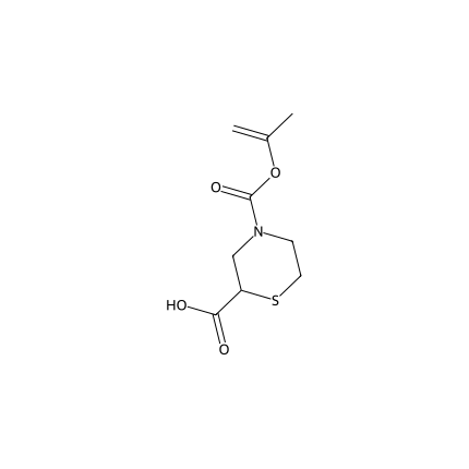 C=C(C)OC(=O)N1CCSC(C(=O)O)C1